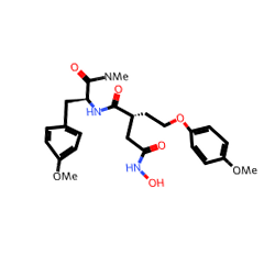 CNC(=O)[C@H](Cc1ccc(OC)cc1)NC(=O)[C@H](CCOc1ccc(OC)cc1)CC(=O)NO